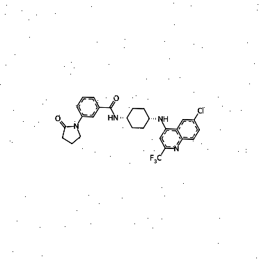 O=C(N[C@H]1CC[C@@H](Nc2cc(C(F)(F)F)nc3ccc(Cl)cc23)CC1)c1cccc(N2CCCC2=O)c1